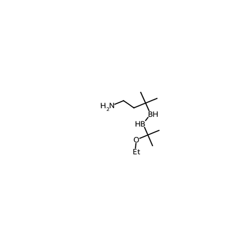 CCOC(C)(C)BBC(C)(C)CCN